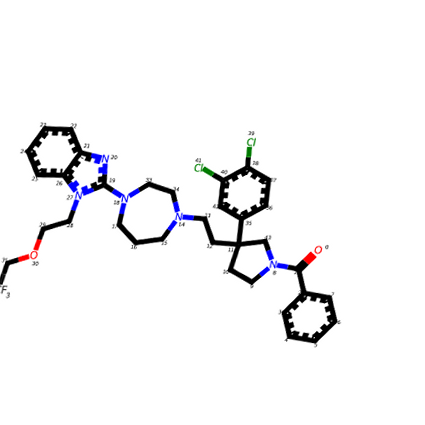 O=C(c1ccccc1)N1CCC(CCN2CCCN(c3nc4ccccc4n3CCOCC(F)(F)F)CC2)(c2ccc(Cl)c(Cl)c2)C1